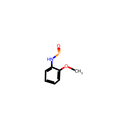 COc1ccccc1NP=O